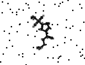 CCOC(=O)c1c[nH]c(S(N)(=O)=O)n1